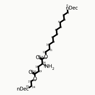 CCCCCCCCCCCCCCCCCCCCCCOC(=O)[C@@H](N)CCC(=O)OCCCCCCCCCCCC